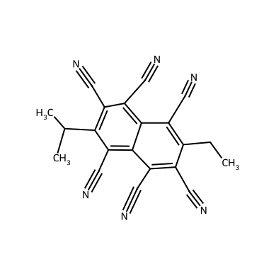 CCc1c(C#N)c(C#N)c2c(C#N)c(C(C)C)c(C#N)c(C#N)c2c1C#N